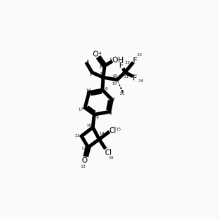 CCC(C(=O)O)(c1ccc(C2CC(=O)C2(Cl)Cl)cc1)[C@@H](C)C(F)(F)F